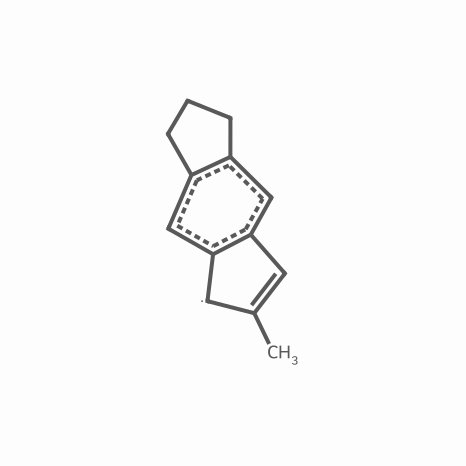 CC1=Cc2cc3c(cc2[CH]1)CCC3